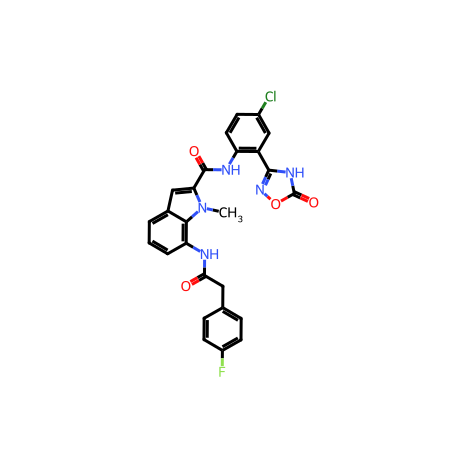 Cn1c(C(=O)Nc2ccc(Cl)cc2-c2noc(=O)[nH]2)cc2cccc(NC(=O)Cc3ccc(F)cc3)c21